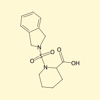 O=C(O)C1CCCCN1S(=O)(=O)N1Cc2ccccc2C1